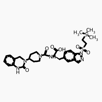 C[Si](C)(C)CCS(=O)(=O)n1ncc2cc(C[C@@H](NC(=O)N3CCC(N4Cc5ccccc5NC4=O)CC3)C(=O)O)ccc21